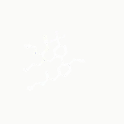 CCCN(Cc1cc(C(F)(F)F)ccc1-c1cc(CC(=O)OCC)ccc1OC)C(=NC#N)NCC